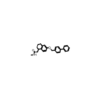 CNC(=O)CC1CCCc2cc(OCc3ccc(-c4ccccc4)cc3)ccc21